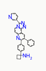 NC1(c2ccc(-c3nc4ccn5c(-c6cccnc6)nnc5c4cc3-c3ccccc3)cc2)CCC1